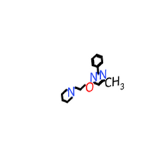 Cc1cc(OCCCN2CCCCC2)nc(-c2ccccc2)n1